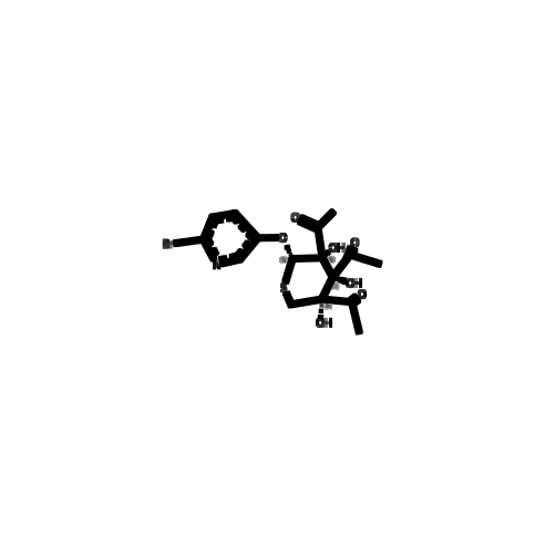 CC(=O)[C@]1(O)[C@@](O)(C(C)=O)CS[C@H](Oc2ccc(Br)nc2)[C@@]1(O)C(C)=O